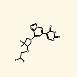 O=c1[nH]cc(-c2cc(N3CC(OCC(F)F)C(F)(F)C3)c3nccn3n2)c(=O)[nH]1